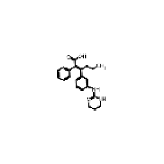 CCCC(=C(C(=O)O)c1ccccc1)c1cccc(NC2=NCCCN2)c1